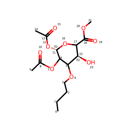 CCCCOC1C(OC(C)=O)[C@H](OC(C)=O)OC(C(=O)OC)[C@H]1O